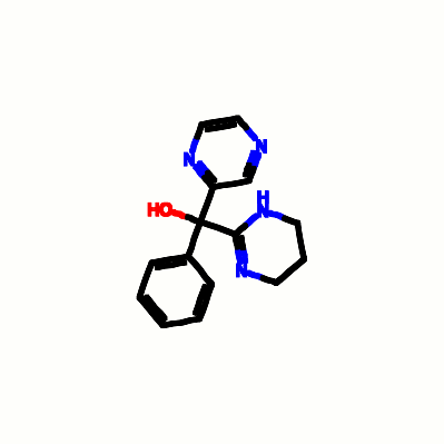 OC(C1=NCCCN1)(c1ccccc1)c1cnccn1